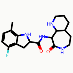 Cc1ccc(F)c2c1NC(C(=O)NC1C(=O)NCCC3CCCNC31)C2